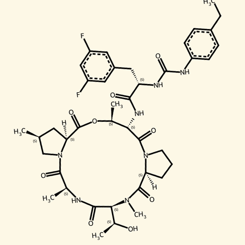 CCc1ccc(NC(=O)N[C@@H](Cc2cc(F)cc(F)c2)C(=O)N[C@@H]2C(=O)N3CCC[C@H]3C(=O)N(C)[C@@H]([C@H](C)O)C(=O)N[C@@H](C)C(=O)N3C[C@@H](C)C[C@H]3C(=O)O[C@H]2C)cc1